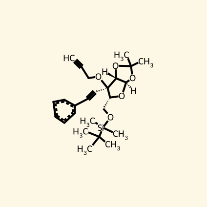 C#CCO[C@@]1(C#Cc2ccccc2)[C@@H]2OC(C)(C)O[C@H]2O[C@@H]1CO[Si](C)(C)C(C)(C)C